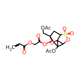 C=CC(=O)OCC(=O)OC1C2(COC(C)=O)CC3C4(O2)C(OS3(=O)=O)C14OC(C)=O